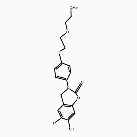 COCCOCCOc1ccc(N2Cc3cc(F)c(O)cc3OC2=O)cc1